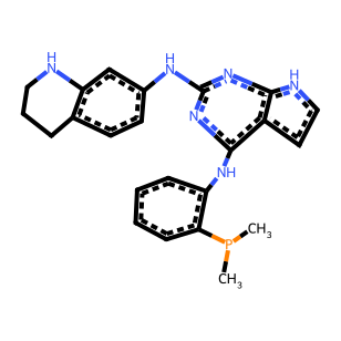 CP(C)c1ccccc1Nc1nc(Nc2ccc3c(c2)NCCC3)nc2[nH]ccc12